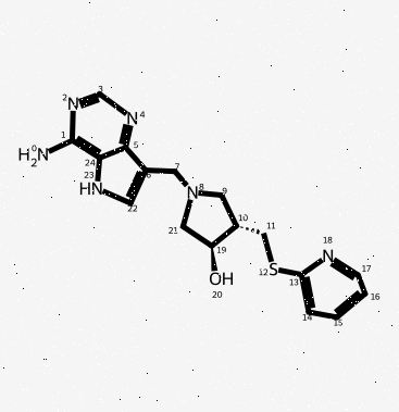 Nc1ncnc2c(CN3C[C@H](CSc4ccccn4)[C@@H](O)C3)c[nH]c12